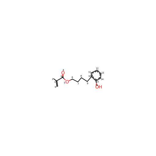 C=C(C)C(=O)OCCCCc1c[c]ccc1O